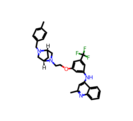 Cc1ccc(CN2C[C@@H]3C[C@H]2CN3CCOc2cc(Nc3cc(C)nc4ccccc34)cc(C(F)(F)F)c2)cc1